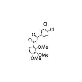 COc1ccc(C(=O)CC(=O)c2ccc(Cl)c(Cl)c2)c(OC)c1OC